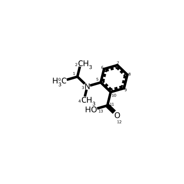 CC(C)N(C)c1ccccc1C(=O)O